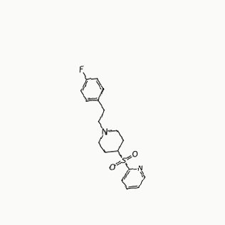 O=S(=O)(c1ccccn1)C1CCN(CCc2ccc(F)cc2)CC1